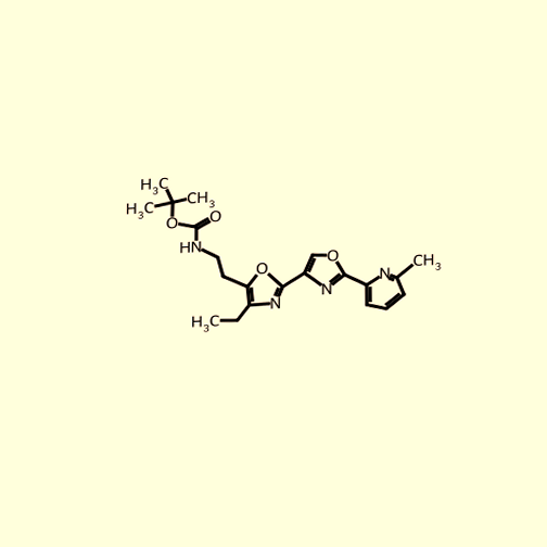 CCc1nc(-c2coc(-c3cccc(C)n3)n2)oc1CCNC(=O)OC(C)(C)C